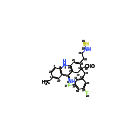 Cc1ccc(NC2=C(C=N)CC(C=O)(Cc3cc(F)cc(F)c3)C(CCNS)=C2)cc1